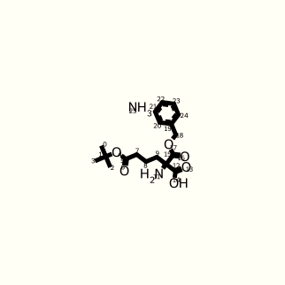 CC(C)(C)OC(=O)CCCC(N)(C(=O)O)C(=O)OCc1ccccc1.N